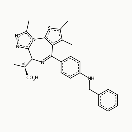 Cc1sc2c(c1C)C(c1ccc(NCc3ccccc3)cc1)=NC([C@H](C)C(=O)O)c1nnc(C)n1-2